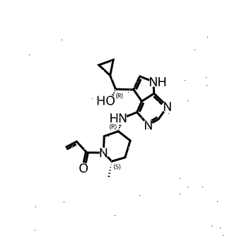 C=CC(=O)N1C[C@H](Nc2ncnc3[nH]cc([C@H](O)C4CC4)c23)CC[C@@H]1C